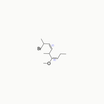 CC/C=C(/OC)C(C)/C=C\C(C)Br